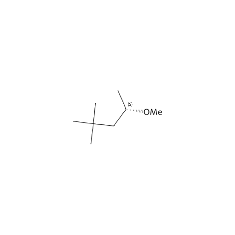 CO[C@@H](C)CC(C)(C)C